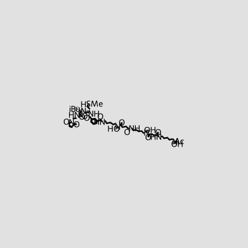 CC[C@H](C)[C@H](NC(=O)[C@H](CCSC)NC(=O)c1cccc(C(=O)NCCCCCN(O)C(=O)CCC(=O)NCCCCCN(O)C(=O)CCC(=O)NCCCCCN(O)C(C)=O)c1)C(=O)NCCN1C(=O)C=CC1=O